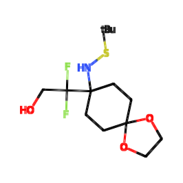 CC(C)(C)SNC1(C(F)(F)CO)CCC2(CC1)OCCO2